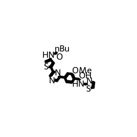 CCCCC(=O)Nc1csc(-c2cncc(-c3ccc(C(O)Nc4nccs4)c(OC)c3)n2)c1